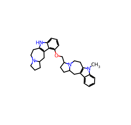 Cn1c2c(c3ccccc31)CC1CCC(COc3cccc4[nH]c5c(c34)CC3CCCN3CC5)N1CC2